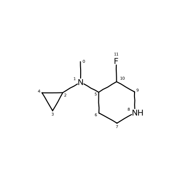 CN(C1CC1)C1CCNCC1F